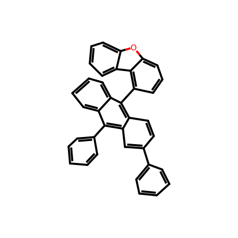 c1ccc(-c2ccc3c(-c4cccc5oc6ccccc6c45)c4ccccc4c(-c4ccccc4)c3c2)cc1